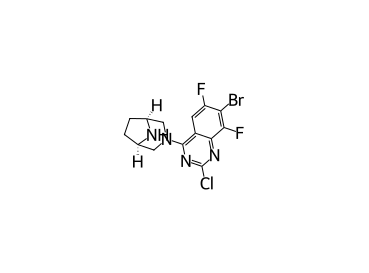 Fc1cc2c(N3C[C@H]4CC[C@@H](C3)N4)nc(Cl)nc2c(F)c1Br